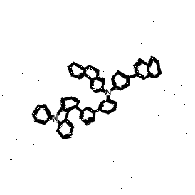 c1ccc(-n2c3ccccc3c3c(-c4cccc(-c5cccc(N(c6ccc(-c7ccc8ccccc8c7)cc6)c6ccc7c(ccc8ccccc87)c6)c5)c4)cccc32)cc1